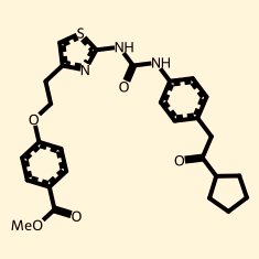 COC(=O)c1ccc(OCCc2csc(NC(=O)Nc3ccc(CC(=O)C4CCCC4)cc3)n2)cc1